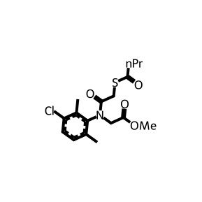 CCCC(=O)SCC(=O)N(CC(=O)OC)c1c(C)ccc(Cl)c1C